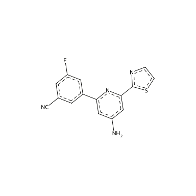 N#Cc1cc(F)cc(-c2cc(N)cc(-c3nccs3)n2)c1